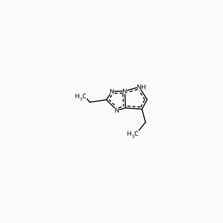 CCc1nc2c(CC)c[nH]n2n1